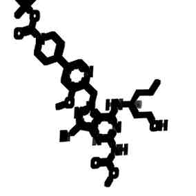 CCC[C@@H](CCO)Nc1nc(NC(=O)OC)nc2c(Br)nn(Cc3ncc(C4=CCN(C(=O)OC(C)(C)C)CC4)cc3OC)c12